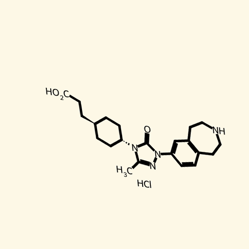 Cc1nn(-c2ccc3c(c2)CCNCC3)c(=O)n1[C@H]1CC[C@H](CCC(=O)O)CC1.Cl